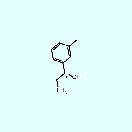 CC[C@@H](O)c1cccc(I)c1